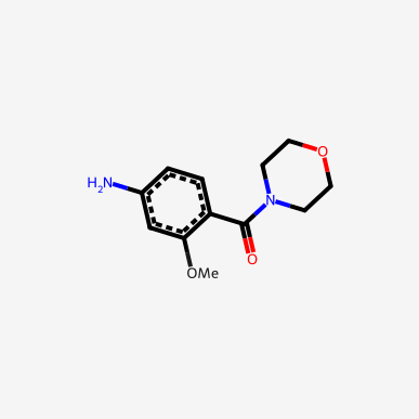 COc1cc(N)ccc1C(=O)N1CCOCC1